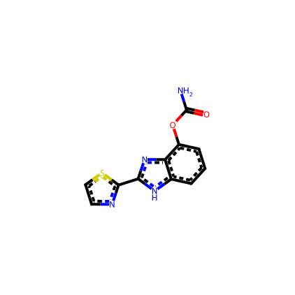 NC(=O)Oc1cccc2[nH]c(-c3nccs3)nc12